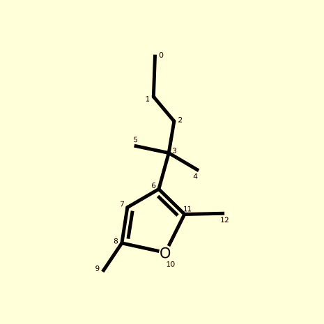 CCCC(C)(C)c1cc(C)oc1C